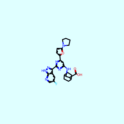 O=C(O)C1C2CCC(CC2)C1Nc1cc(-c2ccc(N3CCCC3)o2)nc(-c2n[nH]c3ncc(F)cc23)n1